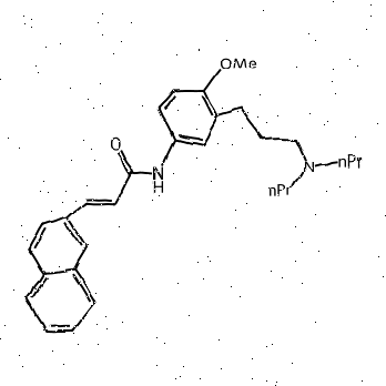 CCCN(CCC)CCCc1cc(NC(=O)C=Cc2ccc3ccccc3c2)ccc1OC